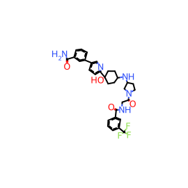 NC(=O)c1cccc(-c2ccc(C3(O)CCC(NC4CCN(C(=O)CNC(=O)c5cccc(C(F)(F)F)c5)C4)CC3)nc2)c1